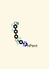 CCCCCc1cnc(-c2cc(F)c(C(F)(F)Oc3ccc(-c4ccc(-c5cc(F)c(C#N)c(F)c5)c(F)c4)cc3)c(F)c2)nc1